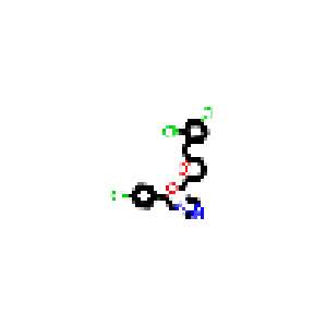 Clc1ccc(C(Cn2ccnc2)OCC2CCCC(Cc3ccc(Cl)cc3Cl)O2)cc1